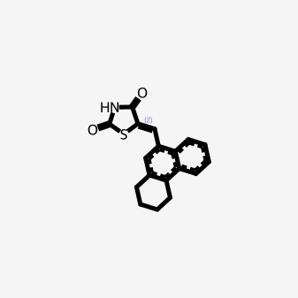 O=C1NC(=O)/C(=C/c2cc3c(c4ccccc24)CCCC3)S1